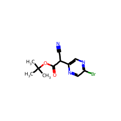 CC(C)(C)OC(=O)C(C#N)c1cnc(Br)cn1